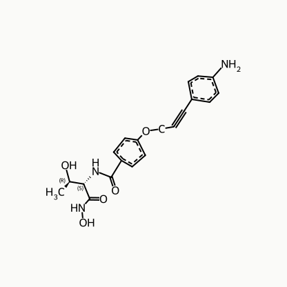 C[C@@H](O)[C@H](NC(=O)c1ccc(OCC#Cc2ccc(N)cc2)cc1)C(=O)NO